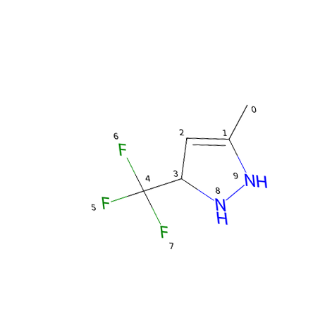 CC1=CC(C(F)(F)F)NN1